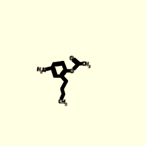 CCCCc1cc(N)ccc1OC(C)=O